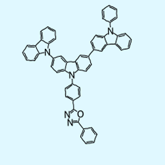 c1ccc(-c2nnc(-c3ccc(-n4c5ccc(-c6ccc7c(c6)c6ccccc6n7-c6ccccc6)cc5c5cc(-n6c7ccccc7c7ccccc76)ccc54)cc3)o2)cc1